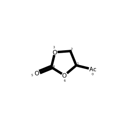 CC(=O)C1COC(=O)O1